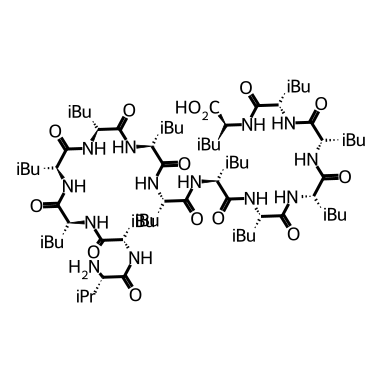 CC[C@H](C)[C@H](NC(=O)[C@@H](NC(=O)[C@@H](NC(=O)[C@@H](NC(=O)[C@@H](NC(=O)[C@@H](NC(=O)[C@@H](NC(=O)[C@@H](NC(=O)[C@@H](NC(=O)[C@@H](NC(=O)[C@@H](NC(=O)[C@@H](NC(=O)[C@@H](N)C(C)C)[C@@H](C)CC)[C@@H](C)CC)[C@@H](C)CC)[C@@H](C)CC)[C@@H](C)CC)[C@@H](C)CC)[C@@H](C)CC)[C@@H](C)CC)[C@@H](C)CC)[C@@H](C)CC)[C@@H](C)CC)C(=O)O